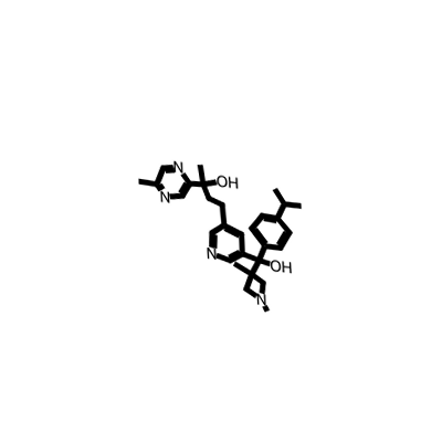 Cc1cnc(C(C)(O)CCc2cncc(C(O)(c3ccc(C(C)C)cc3)C3(C)CN(C)C3)c2)cn1